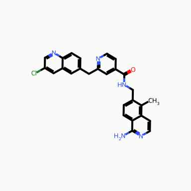 Cc1c(CNC(=O)c2ccnc(Cc3ccc4ncc(Cl)cc4c3)c2)ccc2c(N)nccc12